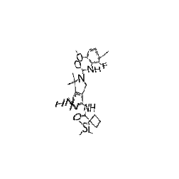 COc1ccc(C)c(F)c1NC(=O)N1Cc2c(NC(=O)C3([Si](C)(C)C)CCC3)n[nH]c2C1(C)C